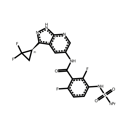 CCCS(=O)(=O)Nc1ccc(F)c(C(=O)Nc2cnc3[nH]nc([C@H]4CC4(F)F)c3c2)c1F